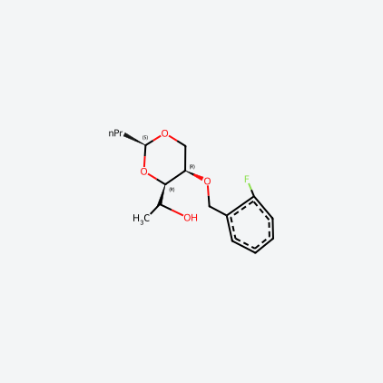 CCC[C@H]1OC[C@@H](OCc2ccccc2F)[C@@H](C(C)O)O1